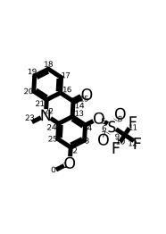 COc1cc(OS(=O)(=O)C(F)(F)F)c2c(=O)c3ccccc3n(C)c2c1